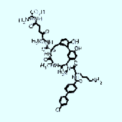 C[C@@H]1NC(=O)[C@@H](N(C)C(=O)[C@H](CCCCN)NC(=O)c2ccc(-c3ccc(Cl)cc3)cc2)c2ccc(O)c(c2)-c2cc(ccc2O)C[C@@H](C(=O)N[C@@H](N)C(=O)CCC(=O)N[C@@H](N)C(=O)O)NC1=O